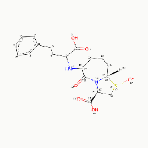 O=C(O)C(CCc1ccccc1)N[C@H]1CCC[C@H]2N(C1=O)[C@H](C(=O)O)C[S@@+]2[O-]